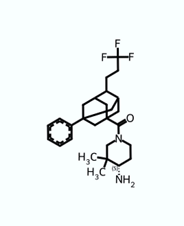 CC1(C)CN(C(=O)C23CC4CC(c5ccccc5)(CC(C2)C4CCC(F)(F)F)C3)CC[C@@H]1N